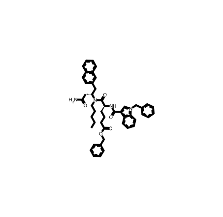 CCCCCN(C(=O)[C@H](CCCC(=O)OCc1ccccc1)NC(=O)c1cn(Cc2ccccc2)c2ccccc12)[C@H](CC(N)=O)Cc1ccc2ccccc2c1